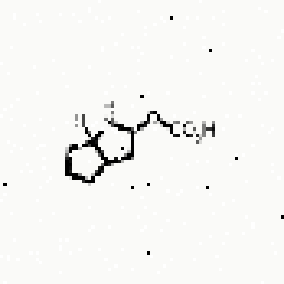 O=C(O)OC1CC2CCC[C@@H]2N1